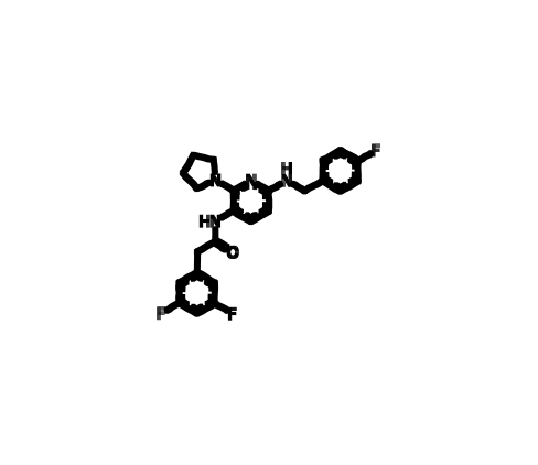 O=C(Cc1cc(F)cc(F)c1)Nc1ccc(NCc2ccc(F)cc2)nc1N1CCCC1